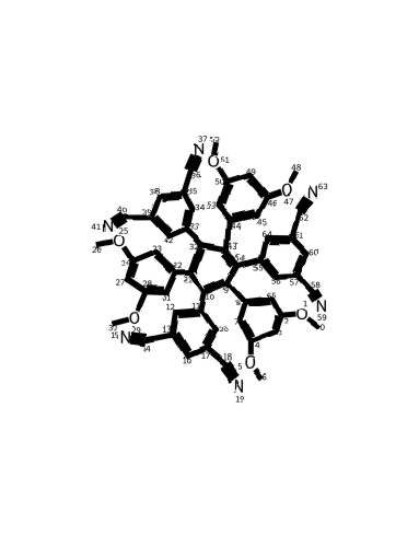 COc1cc(OC)cc(-c2c(-c3cc(C#N)cc(C#N)c3)c(-c3cc(OC)cc(OC)c3)c(-c3cc(C#N)cc(C#N)c3)c(-c3cc(OC)cc(OC)c3)c2-c2cc(C#N)cc(C#N)c2)c1